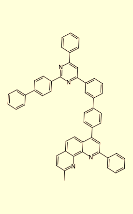 Cc1ccc2ccc3c(-c4ccc(-c5cccc(-c6cc(-c7ccccc7)nc(-c7ccc(-c8ccccc8)cc7)n6)c5)cc4)cc(-c4ccccc4)nc3c2n1